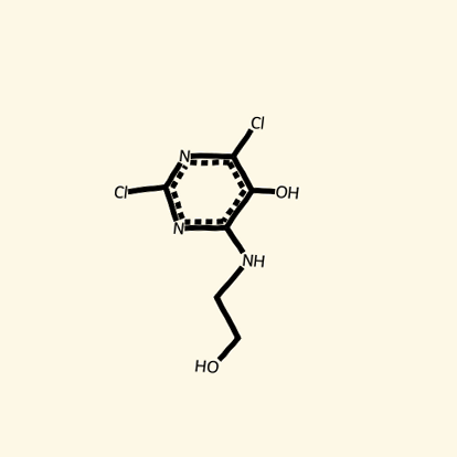 OCCNc1nc(Cl)nc(Cl)c1O